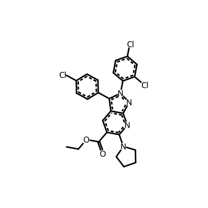 CCOC(=O)c1cc2c(-c3ccc(Cl)cc3)n(-c3ccc(Cl)cc3Cl)nc2nc1N1CCCC1